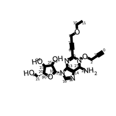 C#CCON1C(C#CCOCC)=Nc2c(ncn2[C@@H]2O[C@H](CO)C(O)C2O)C1N